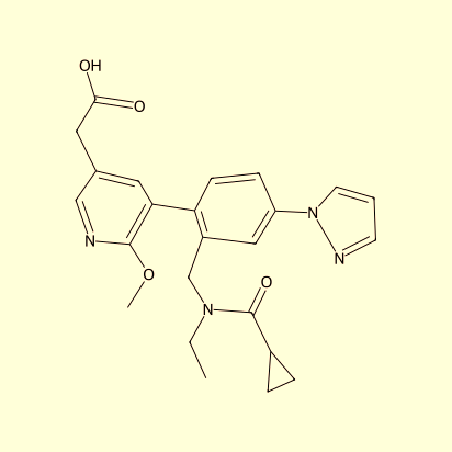 CCN(Cc1cc(-n2cccn2)ccc1-c1cc(CC(=O)O)cnc1OC)C(=O)C1CC1